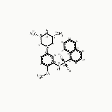 COc1ccc(N2C[C@@H](C)N[C@@H](C)C2)cc1NS(=O)(=O)c1cccc2ccccc12